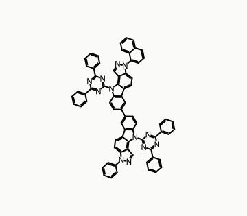 c1ccc(-c2nc(-c3ccccc3)nc(-n3c4ccc(-c5ccc6c(c5)c5ccc7c(cnn7-c7cccc8ccccc78)c5n6-c5nc(-c6ccccc6)nc(-c6ccccc6)n5)cc4c4ccc5c(cnn5-c5ccccc5)c43)n2)cc1